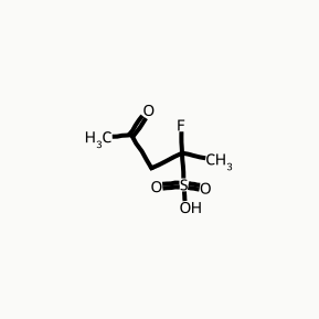 CC(=O)CC(C)(F)S(=O)(=O)O